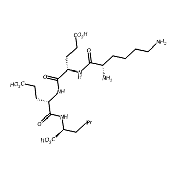 CC(C)C[C@H](NC(=O)[C@H](CCC(=O)O)NC(=O)[C@H](CCC(=O)O)NC(=O)[C@@H](N)CCCCN)C(=O)O